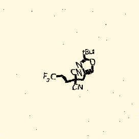 CC(C)(C)c1nc(CC(C#N)(C#N)CCC(F)(F)F)co1